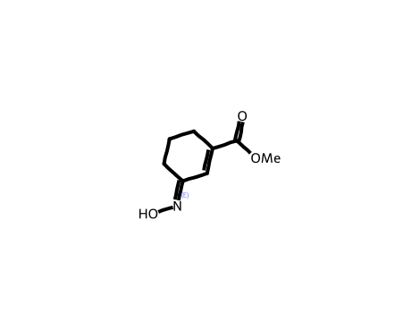 COC(=O)C1=C/C(=N/O)CCC1